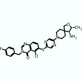 C[C@@H]1OCC2(CCN(c3cnc(Sc4ccc5ncn(Cc6ccc(F)cc6)c(=O)c5c4Cl)cn3)CC2)[C@@H]1N